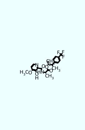 COc1ccnc(C(=O)N[C@@H](C)C(=O)ON(C)C(C)c2ccc(C(F)(F)F)cc2)c1O